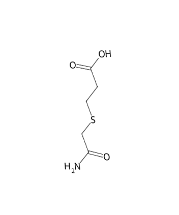 NC(=O)CSCCC(=O)O